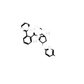 CC(C)C[C@@H]1[C@H]2C[C@@H](Oc3ccc(C(F)(F)F)cn3)[C@H](C2)N1C(=O)c1ccccc1-c1ncccn1